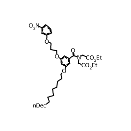 CCCCCCCCCCCCCCCCCCOc1cc(OCCCOc2cccc([N+](=O)[O-])c2)cc(C(=O)N(CC(=O)OCC)CC(=O)OCC)c1